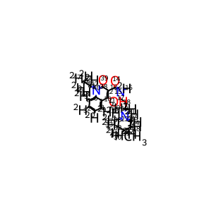 [2H]c1c([2H])c([2H])c2c(c1[2H])c(O)c(C(=O)N([2H])CCC([2H])([2H])N1C([2H])([2H])C([2H])([2H])C([2H])(C)C([2H])([2H])C1([2H])[2H])c(=O)n2C([2H])([2H])C([2H])([2H])[2H]